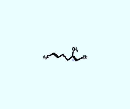 C[CH]/C=C(\C)CCC=CC